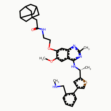 CNCc1ccccc1-c1csc([C@@H](C)Nc2nc(C)nc3cc(OCCNC(=O)CC45CC6CC(CC(C6)C4)C5)c(OC)cc23)c1